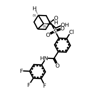 O=C(Nc1cc(F)c(F)c(F)c1)c1ccc(Cl)c(S(=O)(=O)C[C@H]2C3C[C@H]2C[C@](O)(CO)C3)c1